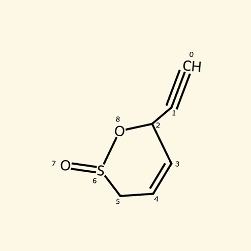 C#CC1C=CCS(=O)O1